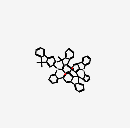 CC1(C)c2ccccc2-c2ccc(N(c3ccccc3-c3ccc4c(c3)-c3ccccc3C43c4ccccc4-n4c5ccccc5c5cccc3c54)c3cccc4c3C(C)(C)c3ccccc3-4)cc21